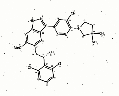 COc1cc2[nH]nc(-c3cnc(N4CC[C@](C)(N)C4)c(C#N)c3)c2cc1O[C@H](C)c1c(Cl)cncc1Cl